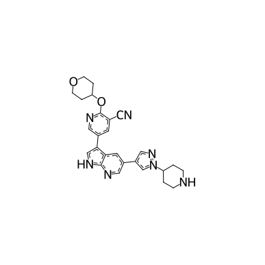 N#Cc1cc(-c2c[nH]c3ncc(-c4cnn(C5CCNCC5)c4)cc23)cnc1OC1CCOCC1